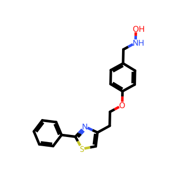 ONCc1ccc(OCCc2csc(-c3ccccc3)n2)cc1